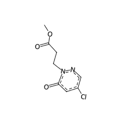 COC(=O)CCn1ncc(Cl)cc1=O